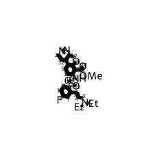 CCN(CC)CC=Cc1cc(F)ccc1S(=O)(=O)Nc1ccc2c(c1C(=O)OC)OCc1nnccc1-2